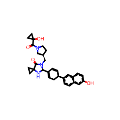 O=C(N1CC[C@@H](CN2C(=O)C3(CC3)NC2C2=CCC(c3ccc4cc(O)ccc4c3)C=C2)C1)C1(O)CC1